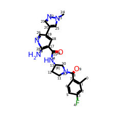 Cc1cc(F)ccc1C(=O)N1CC[C@@H](NC(=O)c2cc(-c3cnn(C)c3)cnc2N)C1